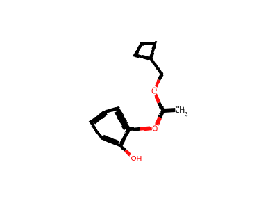 CC(OCC1CCC1)Oc1ccccc1O